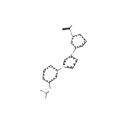 O=C(O)c1cccc(-c2ccn(-c3cccc(OC(F)F)c3)c2)c1